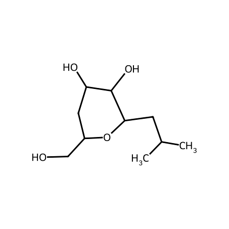 CC(C)CC1OC(CO)CC(O)C1O